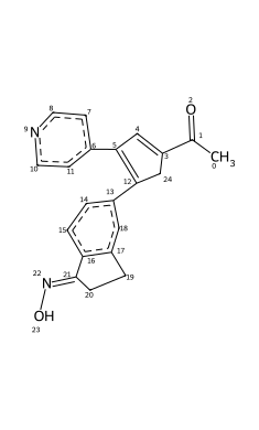 CC(=O)C1=CC(c2ccncc2)=C(c2ccc3c(c2)CC/C3=N\O)C1